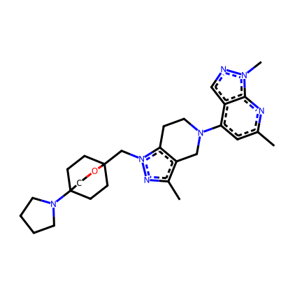 Cc1cc(N2CCc3c(c(C)nn3CC34CCC(N5CCCC5)(CC3)CO4)C2)c2cnn(C)c2n1